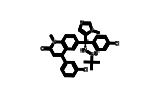 Cn1cncc1[C@@](N[S+]([O-])C(C)(C)C)(c1ccc(Cl)cc1)c1ccc2c(c1)c(-c1cccc(Cl)c1)cc(=O)n2C